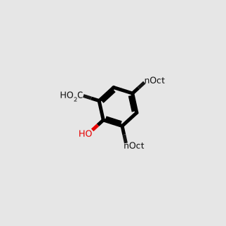 CCCCCCCCc1cc(CCCCCCCC)c(O)c(C(=O)O)c1